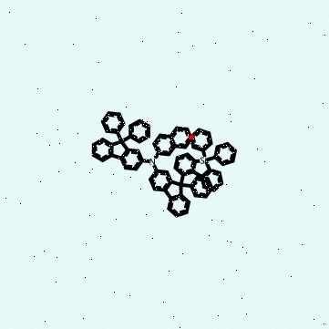 c1ccc(C2(c3ccccc3)c3ccccc3-c3ccc(N(c4ccc5c(c4)C(c4ccccc4)(c4cccc6c4-c4ccccc4[Si]6(c4ccccc4)c4ccccc4)c4ccccc4-5)c4ccc5ccccc5c4)cc32)cc1